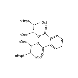 CCCCCCCCCCC(OC(=O)c1ccccc1C(=O)OC(CCCCCCCCCC)C(CCCCCCC)CCCCCCCC)C(CCCCCCC)CCCCCCCC